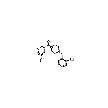 O=C(c1cncc(Br)c1)N1CCN(Cc2ccccc2Cl)CC1